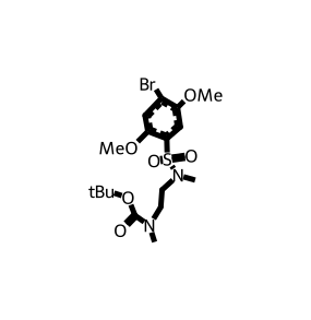 COc1cc(S(=O)(=O)N(C)CCN(C)C(=O)OC(C)(C)C)c(OC)cc1Br